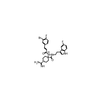 N=C(N)N1CCC(NC(=O)/C=C/c2ccc(F)c(Br)c2)(C(=O)NCCc2c[nH]c3ccc(F)cc23)CC1